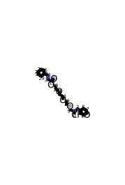 O=C/C(=C\c1ccccc1)COCCOCCOCCOC(=O)/C=C/c1ccccc1